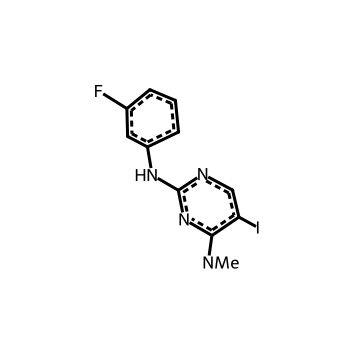 CNc1nc(Nc2cccc(F)c2)ncc1I